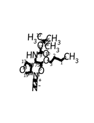 CCCCOC(=O)C(NC(=O)OC(C)(C)C)[C@H]1COC[C@H]1N=[N+]=[N-]